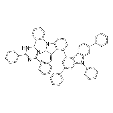 C1=CCC2C(=C1)c1c(-c3cc(-c4ccccc4)cc4c3c3ccc(-c5ccccc5)cc3n4-c3ccccc3)cccc1N2c1ccccc1C1N=C(c2ccccc2)N=C(c2ccccc2)N1